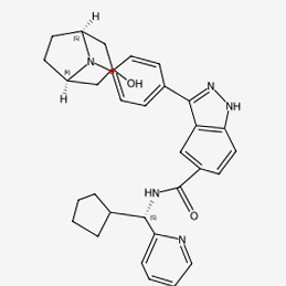 O=C(N[C@H](c1ccccn1)C1CCCC1)c1ccc2[nH]nc(-c3ccc(N4[C@@H]5CC[C@H]4CC(O)C5)cc3)c2c1